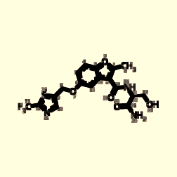 Cc1oc2ccc(OCc3cnc(C(F)(F)F)s3)cc2c1C(=O)N[C@@H](CO)C(N)=O